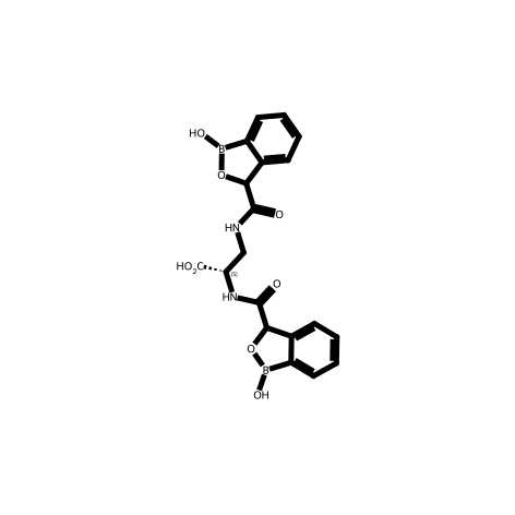 O=C(NC[C@H](NC(=O)C1OB(O)c2ccccc21)C(=O)O)C1OB(O)c2ccccc21